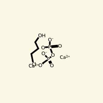 O=P([O-])([O-])OP(=O)([O-])[O-].OCCCCl.[Ca+2].[Ca+2]